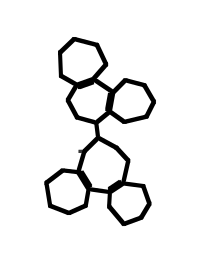 [CH]1C2=C(CCCCC2)C2=C(CCCCC2)CCC1C1CCC2=C(CCCCC2)C2=C1CCCCC2